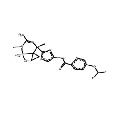 CN1C(N)=N[C@](C)(c2nc(NC(=O)c3ccc(OC(F)F)cn3)cs2)C2(CC2)S1(O)O